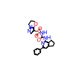 O=C(Nc1nc(-c2ccccc2)cc2c1CCC2)NS(=O)(=O)c1cnn2c1OCCC2